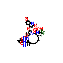 CC[C@@H]1C[C@H](C)CC/C=C\[C@@H]2C[C@@]2(C(=O)NS(=O)(=O)C2(C)CC2)NC(=O)[C@@H]2C[C@@H](Oc3cc(OC)nc4cc(OC)ccc34)CN2C(=O)[C@H]1N(C(=O)O)C(C)(C)C(F)(F)F